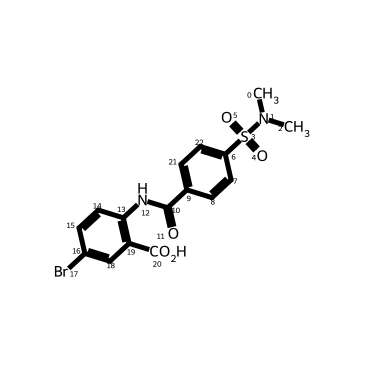 CN(C)S(=O)(=O)c1ccc(C(=O)Nc2ccc(Br)cc2C(=O)O)cc1